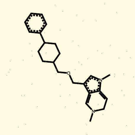 CN1C=c2c(COCC3CCC(c4ccccc4)CC3)cn(C)c2=CC1